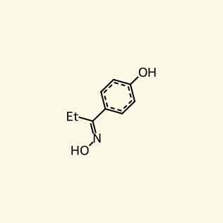 CCC(=NO)c1ccc(O)cc1